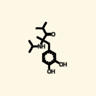 CC(C)NC(C)(Cc1ccc(O)c(O)c1)C(=O)C(C)C